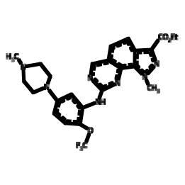 CCOC(=O)c1nn(C)c2c1ccc1cnc(Nc3cc(N4CCN(C)CC4)ccc3OC(F)(F)F)nc12